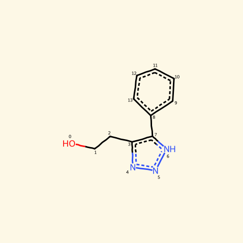 OCCc1nn[nH]c1-c1ccccc1